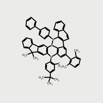 Cc1cc(C(C)(C)C)ccc1N1c2cc3c(cc2B2c4c(cc(-c5c(C)cccc5C)cc41)-c1ccc4ccccc4c1N2c1ccc(-c2ccccc2)cc1)-c1ccccc1C3(C)C